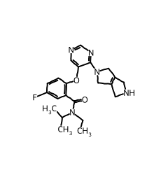 CCN(C(=O)c1cc(F)ccc1Oc1cncnc1N1CC2=C(CNC2)C1)C(C)C